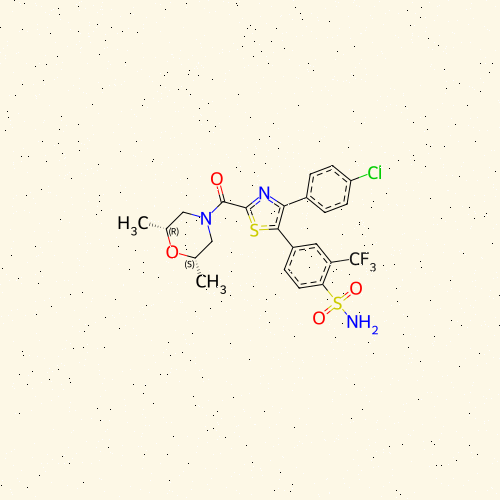 C[C@@H]1CN(C(=O)c2nc(-c3ccc(Cl)cc3)c(-c3ccc(S(N)(=O)=O)c(C(F)(F)F)c3)s2)C[C@H](C)O1